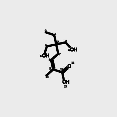 CCC(CO)(CO)CC=C(C)C(=O)O